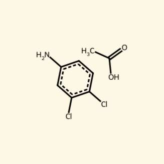 CC(=O)O.Nc1ccc(Cl)c(Cl)c1